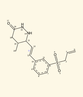 C=CCS(=O)(=O)c1cccc(/C=C/C2NNC(=O)CC2C)c1